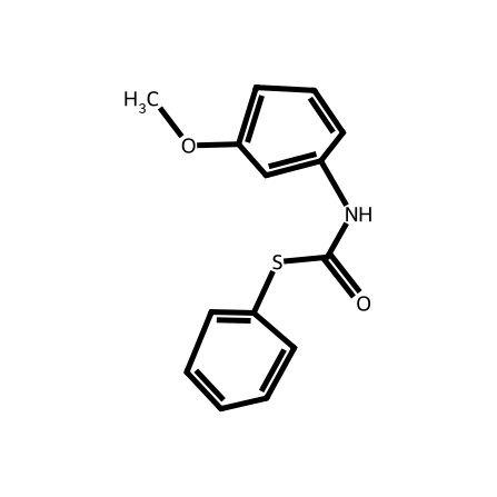 COc1cccc(NC(=O)Sc2ccccc2)c1